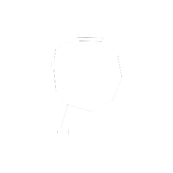 OC1CCC/C=C\CCCC1